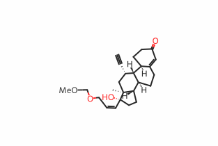 C#C[C@H]1C[C@@]2(C)[C@@H](CC[C@@]2(O)/C=C\COCOC)[C@@H]2CCC3=CC(=O)CC[C@@H]3[C@H]21